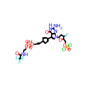 Nc1nc2c(c(-c3ccc(C#CCOP(=O)(O)OCCNC(=O)C(F)(F)F)cc3)cn2C2CC(F)C(COP(=O)(Cl)Cl)O2)c(=O)[nH]1